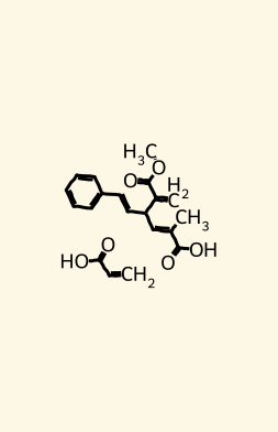 C=C(C(=O)OC)C(C=Cc1ccccc1)C=C(C)C(=O)O.C=CC(=O)O